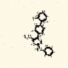 Cc1sc(Nc2ccccc2)nc1-c1ccc(-c2ccccc2F)cc1